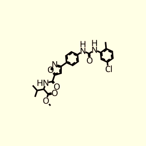 COC(=O)C(NC(=O)c1cc(-c2ccc(NC(=O)Nc3cc(Cl)ccc3C)cc2)no1)C(C)C